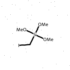 CO[Si](CI)(OC)OC